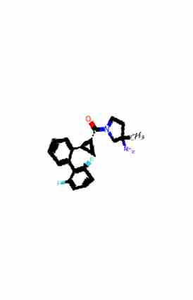 CC1(N)CCN(C(=O)[C@@H]2C[C@H]2c2ccccc2-c2c(F)cccc2F)C1